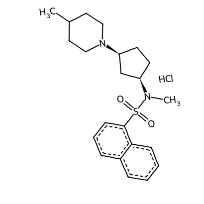 CC1CCN([C@H]2CC[C@@H](N(C)S(=O)(=O)c3cccc4ccccc34)C2)CC1.Cl